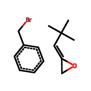 BrCc1ccccc1.CC(C)(C)C=C1CO1